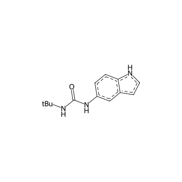 CC(C)(C)NC(=O)Nc1ccc2[nH]ccc2c1